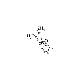 CCCC(C)CCS(=O)(=O)c1ccccc1